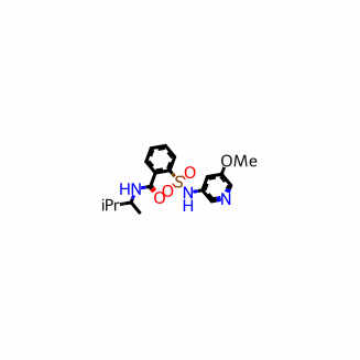 COc1cncc(NS(=O)(=O)c2ccccc2C(=O)NC(C)C(C)C)c1